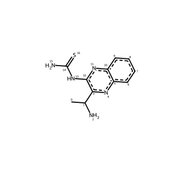 CC(N)c1nc2ccccc2nc1NC(N)=S